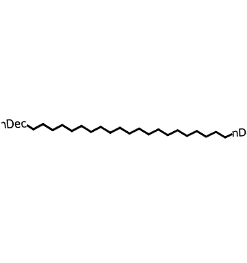 CCCCCCCCCCCCCCCCCCCCCCCCCCCCCCCCCCCCCCCCC